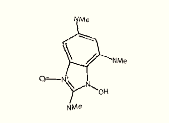 CNc1cc(NC)c2c(c1)[n+]([O-])c(NC)n2O